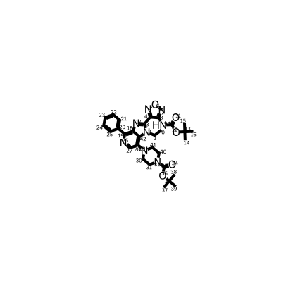 CCn1c(-c2nonc2NC(=O)OC(C)(C)C)nc2c(-c3ccccc3)ncc(N3CCN(C(=O)OC(C)(C)C)CC3)c21